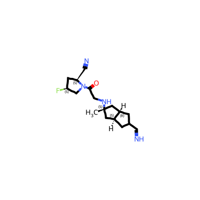 C[C@@]1(NCC(=O)N2C[C@@H](F)C[C@H]2C#N)C[C@H]2CC(C=N)C[C@H]2C1